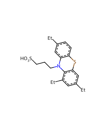 CCc1cc(CC)c2c(c1)Sc1ccc(CC)cc1N2CCCS(=O)(=O)O